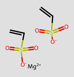 C=CS(=O)(=O)[O-].C=CS(=O)(=O)[O-].[Mg+2]